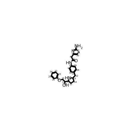 Nc1nc(CC(=O)Nc2ccc(CC3CCC(C(O)COc4ccccc4)N3)cc2)cs1